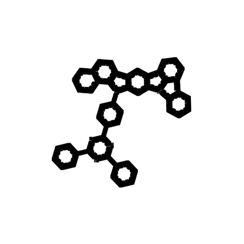 c1ccc(-c2nc(-c3ccccc3)nc(-c3ccc(-n4c5cc6c(cc5c5ccc7ccccc7c54)c4cccc5c7ccccc7n6c54)cc3)n2)cc1